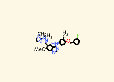 COc1cc2ncnc(Nc3ccc(OCc4cccc(F)c4)c(C)c3)c2cc1/C=N/N(C)C1=NCCN1C